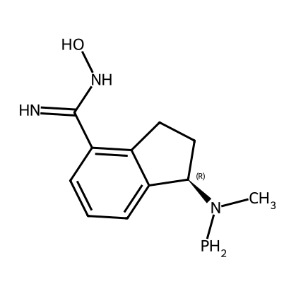 CN(P)[C@@H]1CCc2c(C(=N)NO)cccc21